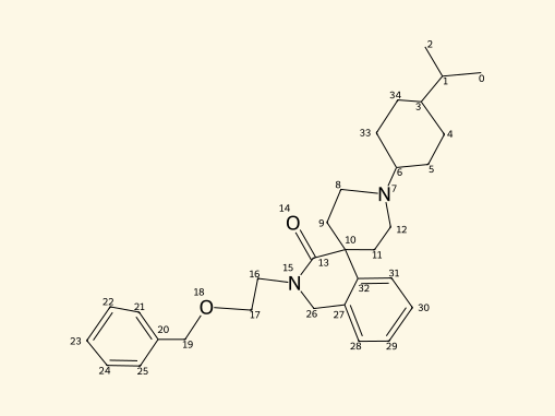 CC(C)C1CCC(N2CCC3(CC2)C(=O)N(CCOCc2ccccc2)Cc2ccccc23)CC1